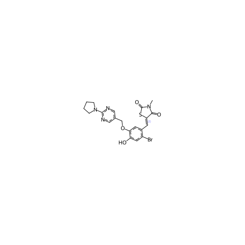 CN1C(=O)S/C(=C\c2cc(OCc3cnc(N4CCCC4)nc3)c(O)cc2Br)C1=O